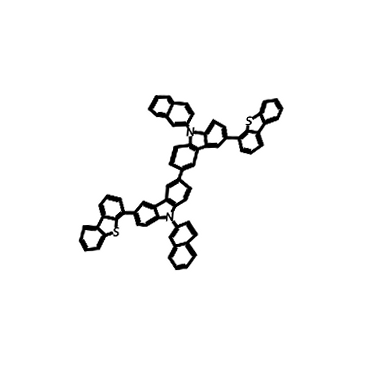 c1ccc2cc(-n3c4ccc(-c5ccc6c(c5)c5cc(-c7cccc8c7sc7ccccc78)ccc5n6-c5ccc6ccccc6c5)cc4c4cc(-c5cccc6c5sc5ccccc56)ccc43)ccc2c1